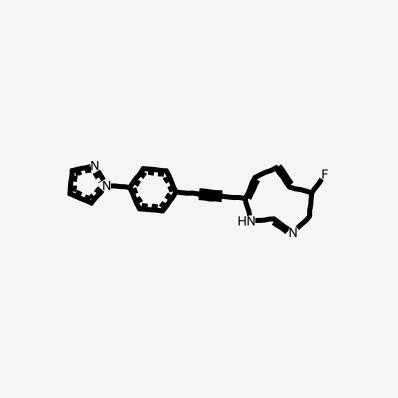 FC1/C=C/C=C(/C#Cc2ccc(-n3cccn3)cc2)N/C=N/C1